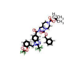 CC(C)(C)OC(=O)N1CCC(CNC(=O)c2ccc3c(c2)nc(C(F)(F)F)n3Cc2cccc3c2OC(F)(F)O3)N(C(=O)OCc2ccccc2)CC1